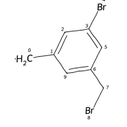 [CH2]c1cc(Br)cc(CBr)c1